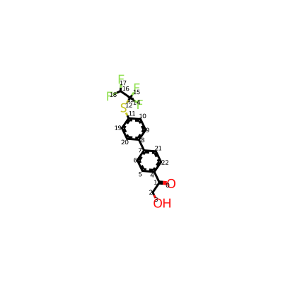 O=C(CO)c1ccc(-c2ccc(SC(F)(F)C(F)F)cc2)cc1